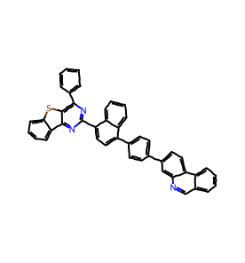 c1ccc(-c2nc(-c3ccc(-c4ccc(-c5ccc6c(c5)ncc5ccccc56)cc4)c4ccccc34)nc3c2sc2ccccc23)cc1